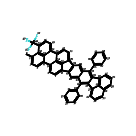 Cc1ccc2c3ccc4c5cc6c(-c7ccccc7)c7c8cccc9cccc(c7c(-c7ccccc7)c6cc5c5ccc(c6ccc(C(F)(F)F)c1c26)c3c45)c98